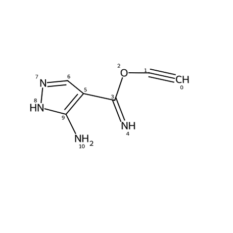 C#COC(=N)c1cn[nH]c1N